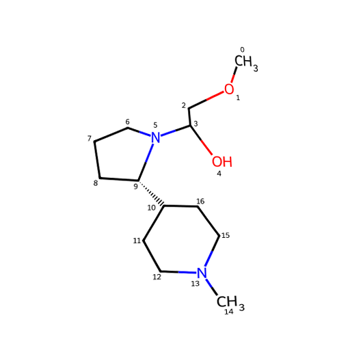 COCC(O)N1CCC[C@H]1C1CCN(C)CC1